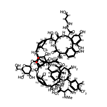 CN[C@H](CC(C)C)C(=O)N[C@H]1C(=O)N[C@@H](CC(N)=O)C(=O)N[C@H]2C(=O)N[C@H]3C(=O)N[C@H](C(=O)N[C@@H](C(=O)NNCCO)C4=C(C(O)=CC(O)C4)c4cc3ccc4O)C(O)c3ccc(c(Cl)c3)Oc3cc2cc(c3O[C@@H]2O[C@H](CO)[C@@H](O)[C@H](O)[C@H]2O[C@H]2C[C@](C)(NCc3ccc(NC(=O)c4ccc(C(F)(F)F)c(F)c4)cc3)[C@H](O)[C@H](C)O2)Oc2ccc(cc2Cl)[C@H]1O